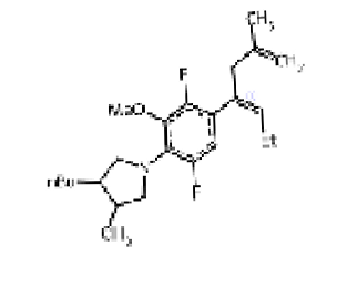 C=C(C)C/C(=C/CC)c1cc(F)c(N2CC(C)C(CCCC)C2)c(OC)c1F